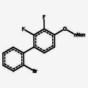 CCCCCCCCCOc1ccc(-c2ccccc2Br)c(F)c1F